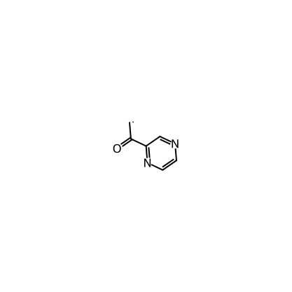 [CH2]C(=O)c1cnccn1